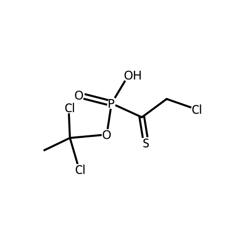 CC(Cl)(Cl)OP(=O)(O)C(=S)CCl